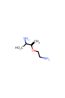 C=C(OCCN)C(N)C(=O)O